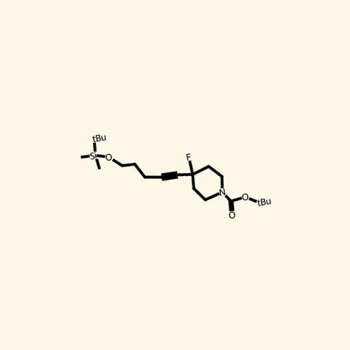 CC(C)(C)OC(=O)N1CCC(F)(C#CCCCO[Si](C)(C)C(C)(C)C)CC1